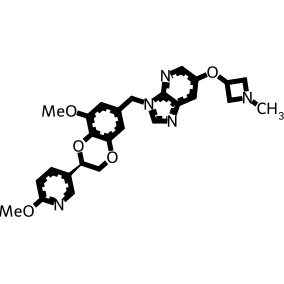 COc1ccc([C@@H]2COc3cc(Cn4cnc5cc(OC6CN(C)C6)cnc54)cc(OC)c3O2)cn1